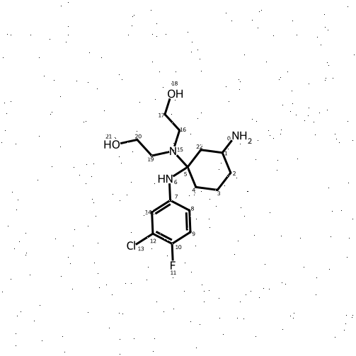 NC1CCCC(Nc2ccc(F)c(Cl)c2)(N(CCO)CCO)C1